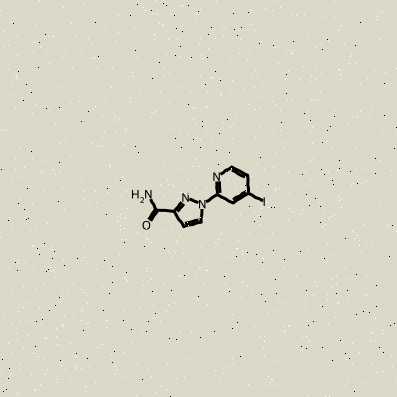 NC(=O)c1ccn(-c2cc(I)ccn2)n1